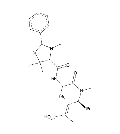 C/C(=C\[C@H](C(C)C)N(C)C(=O)C(NC(=O)[C@H]1N(C)C(c2ccccc2)SC1(C)C)C(C)(C)C)C(=O)O